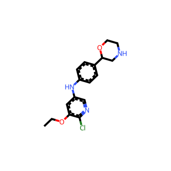 CCOc1cc(Nc2ccc(C3CNCCO3)cc2)cnc1Cl